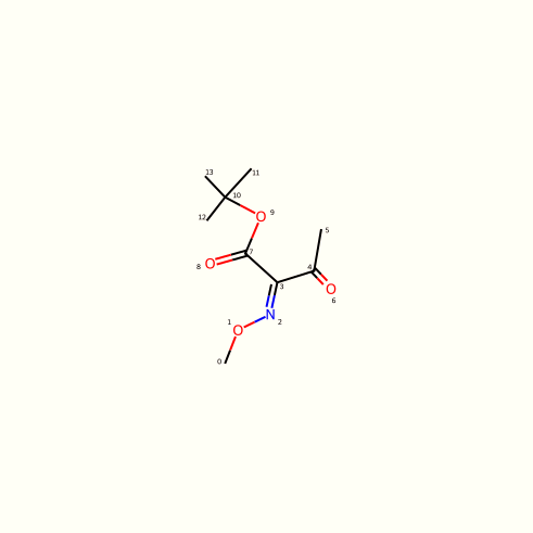 CON=C(C(C)=O)C(=O)OC(C)(C)C